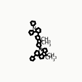 CC1(C)c2cc(-c3cccc4c3c3ccccc3n4-c3ccccc3)ccc2-c2ccc(N(c3ccc(-c4ccccc4)cc3)c3cccc4c3-c3ccccc3C4(C)C)cc21